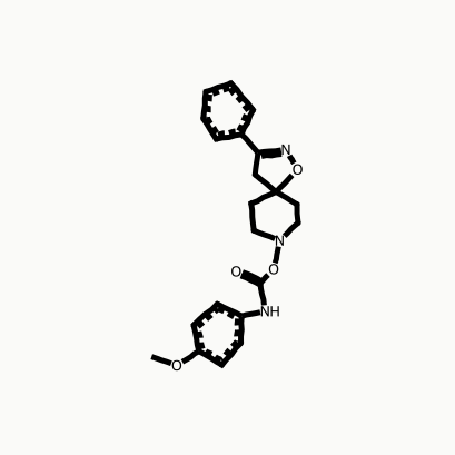 COc1ccc(NC(=O)ON2CCC3(CC2)CC(c2ccccc2)=NO3)cc1